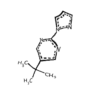 CC(C)(C)c1cnc(-n2cccn2)nc1